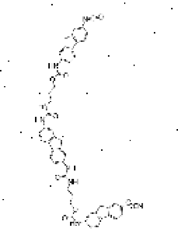 N#COc1ccc2c(c1)Cc1cc(NC(=O)OCCCNC(=O)Nc3ccc4c(c3)Cc3cc(NC(=O)NCCCOC(=O)Nc5ccc6c(c5)Cc5cc(N=C=O)ccc5-6)ccc3-4)ccc1-2